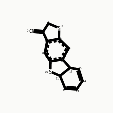 O=C1CSc2cc3c(cc21)SC1C=CC=CC31